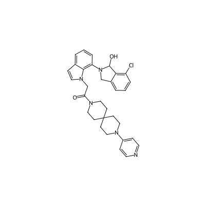 O=C(Cn1ccc2cccc(N3Cc4cccc(Cl)c4C3O)c21)N1CCC2(CC1)CCN(c1ccncc1)CC2